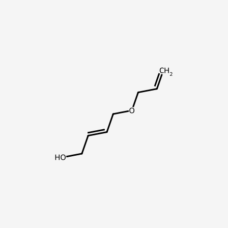 C=CCOCC=CCO